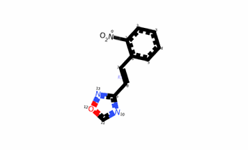 O=[N+]([O-])c1ccccc1/C=C/c1ncon1